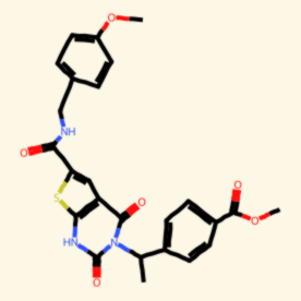 COC(=O)c1ccc(C(C)n2c(=O)[nH]c3sc(C(=O)NCc4ccc(OC)cc4)cc3c2=O)cc1